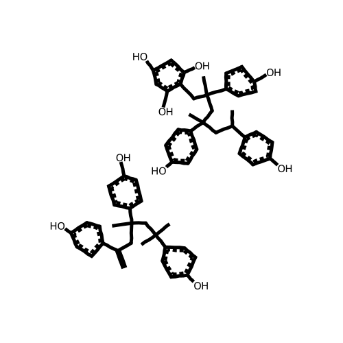 C=C(CC(C)(CC(C)(C)c1ccc(O)cc1)c1ccc(O)cc1)c1ccc(O)cc1.CC(CC(C)(CC(C)(Cc1c(O)cc(O)cc1O)c1ccc(O)cc1)c1ccc(O)cc1)c1ccc(O)cc1